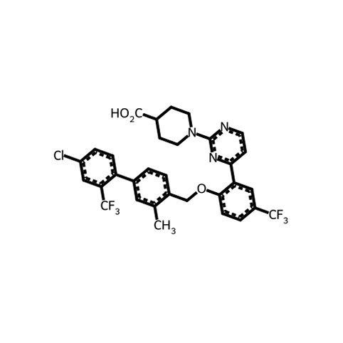 Cc1cc(-c2ccc(Cl)cc2C(F)(F)F)ccc1COc1ccc(C(F)(F)F)cc1-c1ccnc(N2CCC(C(=O)O)CC2)n1